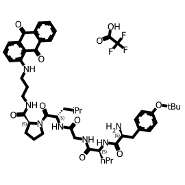 CCC[C@H](NC(=O)[C@@H](N)Cc1ccc(OC(C)(C)C)cc1)C(=O)NCC(=O)N[C@@H](CC(C)C)C(=O)N1CCC[C@H]1C(=O)NCCCNc1cccc2c1C(=O)c1ccccc1C2=O.O=C(O)C(F)(F)F